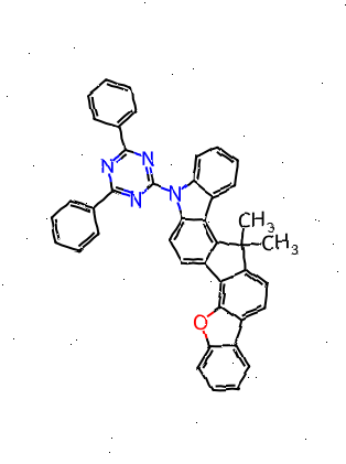 CC1(C)c2ccc3c(oc4ccccc43)c2-c2ccc3c(c21)c1ccccc1n3-c1nc(-c2ccccc2)nc(-c2ccccc2)n1